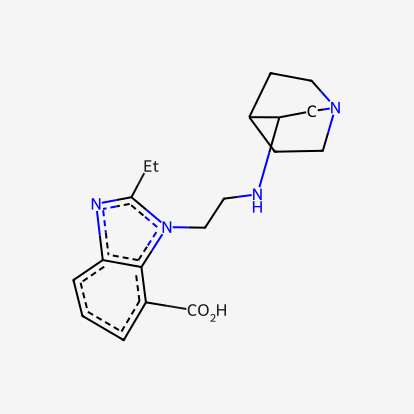 CCc1nc2cccc(C(=O)O)c2n1CCNC1CN2CCC1CC2